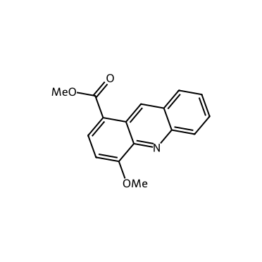 COC(=O)c1ccc(OC)c2nc3ccccc3cc12